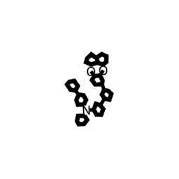 c1ccc(-c2ccc(N(c3ccccc3)c3cccc(-c4cccc(-c5ccc6c(c5)Oc5cccc7cccc(c57)O6)c4)c3)cc2)cc1